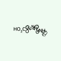 O=C(O)c1cccn(Cc2cn3c(C(=O)NCC45CC6CC(CC(C6)C4)C5)cccc3n2)c1=O